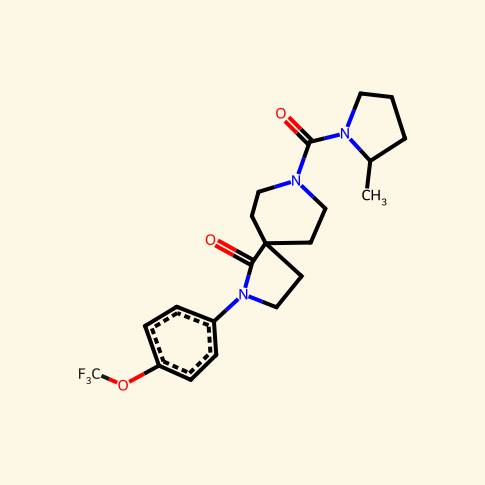 CC1CCCN1C(=O)N1CCC2(CC1)CCN(c1ccc(OC(F)(F)F)cc1)C2=O